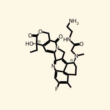 CC[C@@]1(O)C(=O)OCc2c1cc1n(c2=O)Cc2c-1nc1cc(F)c(C)c3c1c2[C@@H](N(C)CC(=O)NCCN)CC3